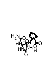 NC(=O)NC1NC(=O)NC1=O.Nc1ccccc1C(=O)O